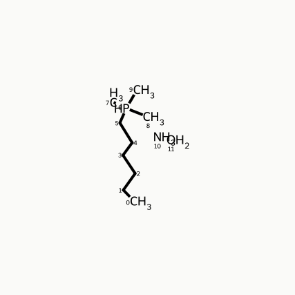 CCCCCC[PH](C)(C)C.N.O